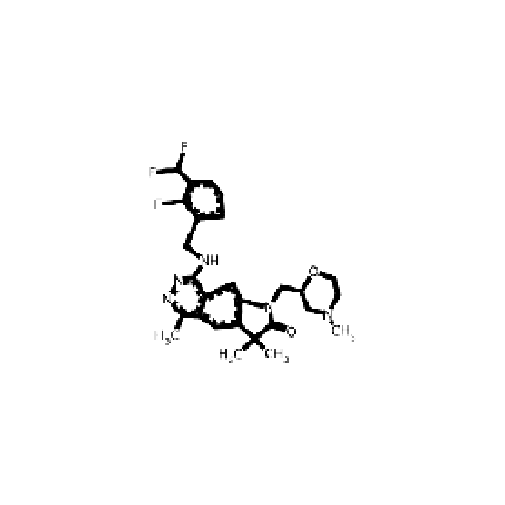 Cc1nnc(NCc2cccc(C(F)F)c2F)c2cc3c(cc12)C(C)(C)C(=O)N3CC1CN(C)CCO1